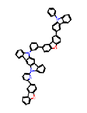 c1ccc(-n2c3ccccc3c3cc(-c4ccc5oc6ccc(-c7cccc(-n8c9ccccc9c9cc%10c(cc98)c8ccccc8n%10-c8cccc(-c9ccc%10oc%11ccccc%11c%10c9)n8)c7)cc6c5c4)ccc32)cc1